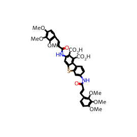 COc1ccc(C=CC(=O)Nc2ccc3c(c2)sc2cc(NC(=O)C=Cc4ccc(OC)c(OC)c4OC)c(C(=O)O)c(C(=O)O)c23)c(OC)c1OC